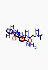 CC(=O)c1ccc(N2[C@@H]3CC[C@H]2C[C@@H](NC(=O)c2ccc(C(N)=O)c(NCCCNC(C)C)c2)C3)nc1